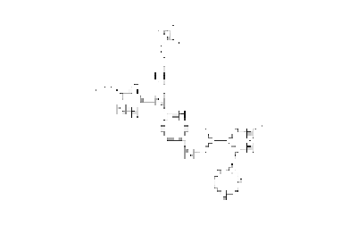 CC(C)c1nnc(N(COCC[Si](C)(C)C)c2ccc3ncc(-c4cn(C)nc4-c4ccncc4)cc3n2)s1